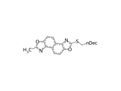 CCCCCCCCCCCSc1nc2c(ccc3c2ccc2oc(C)nc23)o1